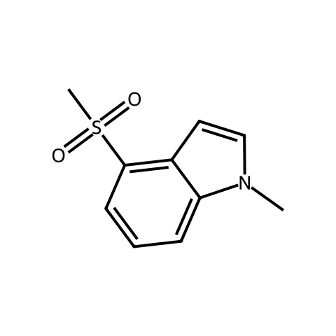 Cn1ccc2c(S(C)(=O)=O)cccc21